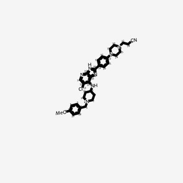 COc1ccc(CN2CCC(Nc3c(Cl)cnc4[nH]c(-c5ccc(N6CCN(CCC#N)CC6)cc5)nc34)CC2)cc1